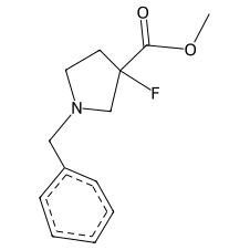 COC(=O)C1(F)CCN(Cc2ccccc2)C1